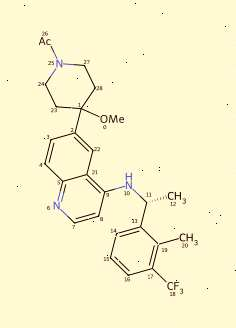 COC1(c2ccc3nccc(N[C@H](C)c4cccc(C(F)(F)F)c4C)c3c2)CCN(C(C)=O)CC1